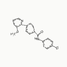 COc1cccnc1-c1ccc(C(=O)Nc2ccc(Cl)cc2)cc1